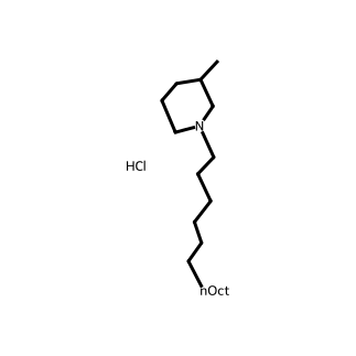 CCCCCCCCCCCCCCN1CCCC(C)C1.Cl